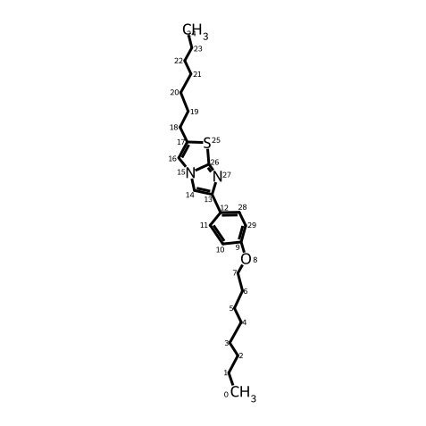 CCCCCCCCOc1ccc(-c2cn3cc(CCCCCCC)sc3n2)cc1